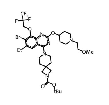 CCc1cc2c(N3CCC4(CC3)CN(C(=O)OC(C)(C)C)C4)nc(OC3CCN(CCOC)CC3)nc2c(OCC(F)(F)C(F)(F)F)c1Br